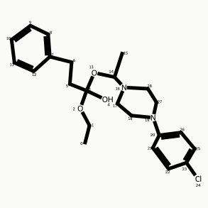 CCOC(O)(CCc1ccccc1)OC(C)N1CCN(c2ccc(Cl)cc2)CC1